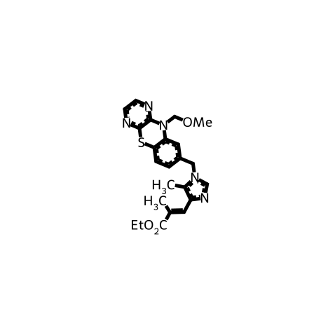 CCOC(=O)C(C)=Cc1ncn(Cc2ccc3c(c2)N(COC)c2nccnc2S3)c1C